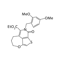 CCOC(=O)c1c2c3c(csc3c(=O)n1Cc1ccc(OC)cc1OC)OCCC2